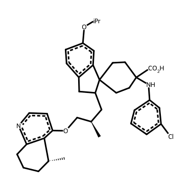 CC(C)Oc1ccc2c(c1)C1(CCC(Nc3cccc(Cl)c3)(C(=O)O)CC1)C(C[C@@H](C)COc1ccnc3c1[C@H](C)CCC3)C2